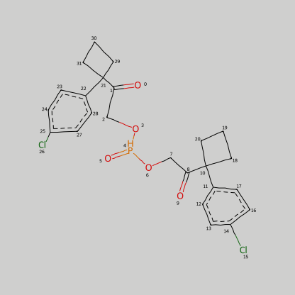 O=C(CO[PH](=O)OCC(=O)C1(c2ccc(Cl)cc2)CCC1)C1(c2ccc(Cl)cc2)CCC1